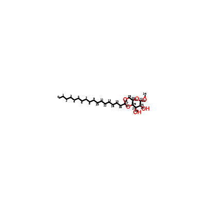 CCCCCCCCCCCCCCCCCC1OCC2OC(OC)C(O)C(O)C2O1